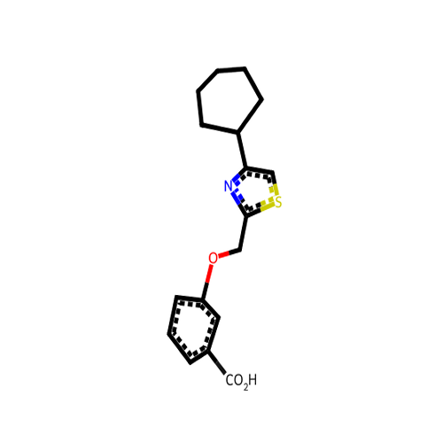 O=C(O)c1cccc(OCc2nc(C3CCCCC3)cs2)c1